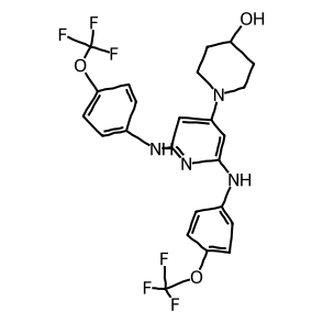 OC1CCN(c2cc(Nc3ccc(OC(F)(F)F)cc3)nc(Nc3ccc(OC(F)(F)F)cc3)c2)CC1